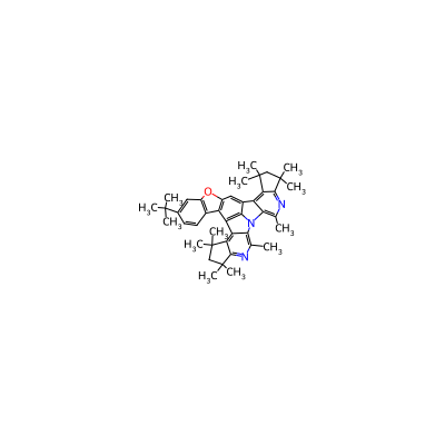 Cc1nc2c(c3c4cc5oc6cc(C(C)(C)C)ccc6c5c5c6c7c(nc(C)c6n(c13)c45)C(C)(C)CC7(C)C)C(C)(C)CC2(C)C